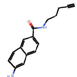 C#CCCCNC(=O)c1ccc2cc(N)ccc2c1